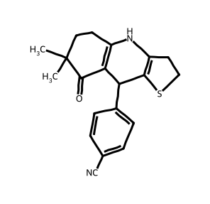 CC1(C)CCC2=C(C1=O)C(c1ccc(C#N)cc1)C1=C(CCS1)N2